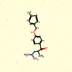 CC(CN(C)C)C(=O)c1ccc(OCc2ccc(Cl)cc2)cc1